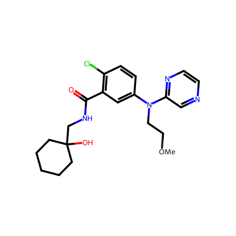 COCCN(c1ccc(Cl)c(C(=O)NCC2(O)CCCCC2)c1)c1cnccn1